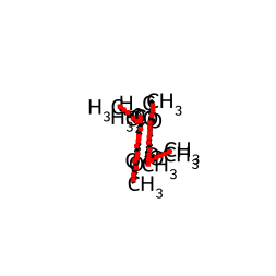 CCC(CCCCCCCCCCCCCCCC(=O)OCCCCCC(C)C)CC(=O)OCCCCCC(C)C.CCCCCCCCOC(=O)CCCCCCCCCCCCCCCC(CC)CC(=O)OCCCCCCCC